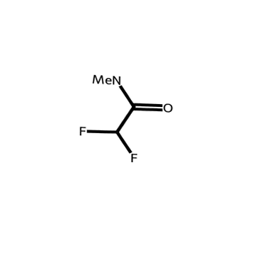 CNC(=O)C(F)F